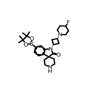 CC1(C)OB(c2ccc3c(c2)N([C@H]2C[C@@H](N4CCC(F)CC4)C2)C(=O)C32CCNCC2)OC1(C)C